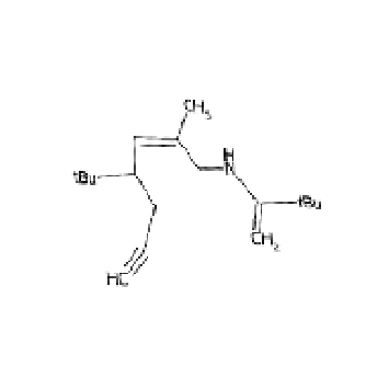 C#CCC(/C=C(/C)CNC(=C)C(C)(C)C)C(C)(C)C